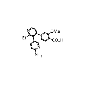 CCc1nccc(-c2ccc(C(=O)O)c(OC)c2)c1-c1ccc(N)nc1